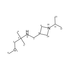 COCC(C)(C)NCC1CN(C(C)C)C1